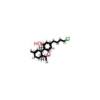 CC1=C[C@H]2c3c(O)cc(CCCCCl)cc3OC(C)[C@@H]2CC1